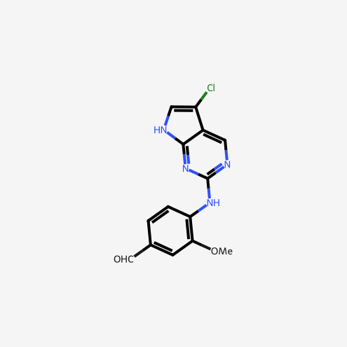 COc1cc(C=O)ccc1Nc1ncc2c(Cl)c[nH]c2n1